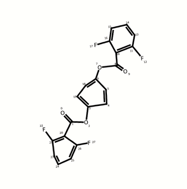 O=C(Oc1ccc(OC(=O)c2c(F)cccc2F)cc1)c1c(F)cccc1F